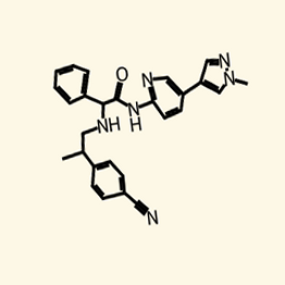 CC(CNC(C(=O)Nc1ccc(-c2cnn(C)c2)cn1)c1ccccc1)c1ccc(C#N)cc1